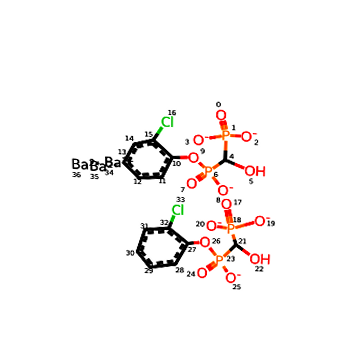 O=P([O-])([O-])C(O)P(=O)([O-])Oc1ccccc1Cl.O=P([O-])([O-])C(O)P(=O)([O-])Oc1ccccc1Cl.[Ba+2].[Ba+2].[Ba+2]